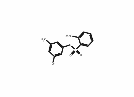 COc1ccccc1S(=O)(=O)Oc1cc(C)cc([O])c1